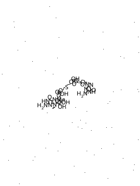 C=CN(c1nc(N)[nH]c(=O)c1NC)[C@@H]1O[C@H](COP(=O)(O)OCCSCCOP(=O)(O)OC[C@@H]2CC[C@H](n3cnc4c(=O)[nH]c(N)nc43)O2)[C@@H](O)[C@H]1O